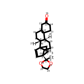 CCC1([C@]23C=CC4(CC2)[C@@H]2CCC5=C(CCC(=O)C5)[C@H]2CC[C@@]43C)OCCO1